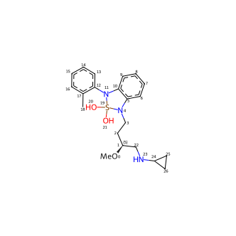 CO[C@@H](CCN1c2ccccc2N(c2ccccc2C)S1(O)O)CNC1CC1